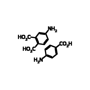 Nc1ccc(C(=O)O)c(C(=O)O)c1.Nc1ccc(C(=O)O)cc1